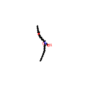 CCCCCCCCCCCCCCCCCCN(CCO)C(=O)CCCCCCCCCCCCCCCCC